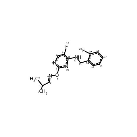 CC(C)C=NOc1ncc(F)c(NCc2ccccc2F)n1